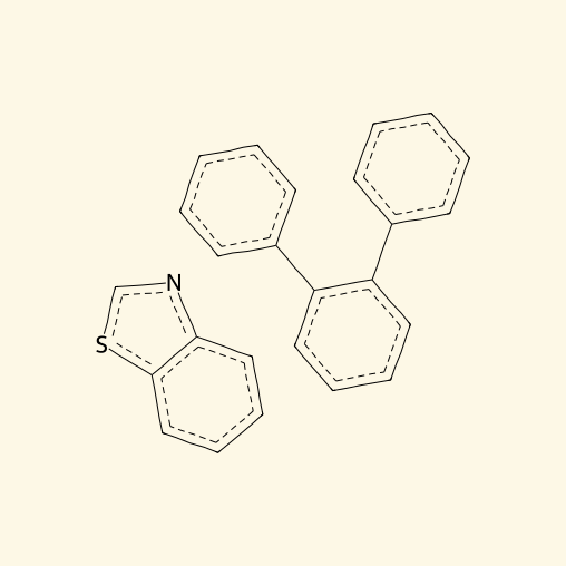 c1ccc(-c2ccccc2-c2ccccc2)cc1.c1ccc2scnc2c1